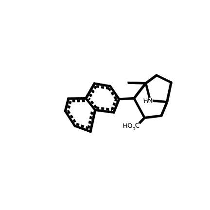 CC12CCC(CC(C(=O)O)C1c1ccc3ccccc3c1)N2